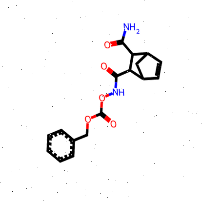 NC(=O)C1C2C=CC(C2)C1C(=O)NOC(=O)OCc1ccccc1